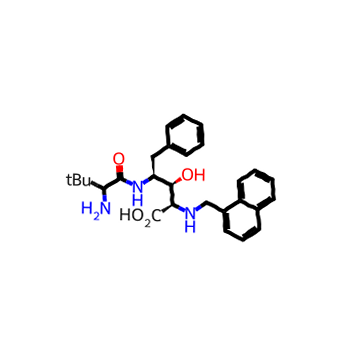 CC(C)(C)C(N)C(=O)N[C@@H](Cc1ccccc1)[C@@H](O)[C@@H](NCc1cccc2ccccc12)C(=O)O